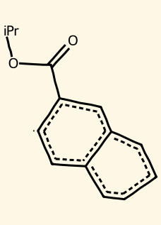 CC(C)OC(=O)c1[c]cc2ccccc2c1